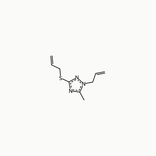 C=CCSc1nc(C)n(CC=C)n1